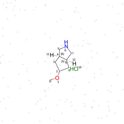 COC1C[C@H]2CNC[C@H]2C1.Cl